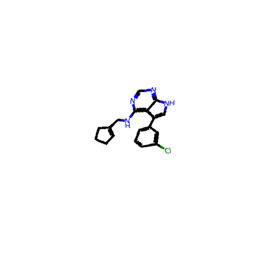 Clc1cccc(-c2c[nH]c3ncnc(NCC4=CCCC4)c23)c1